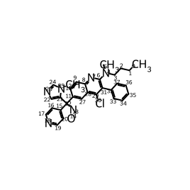 CCCCN(C)c1nc2ccc(C(N=O)(c3ccncc3)c3cncn3C)cc2c(Cl)c1-c1ccccc1